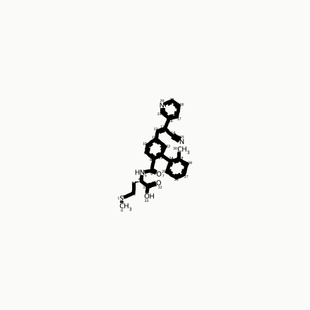 CSCC[C@H](NC(=O)c1ccc(/C=C(\C#N)c2cccnc2)cc1-c1ccccc1C)C(=O)O